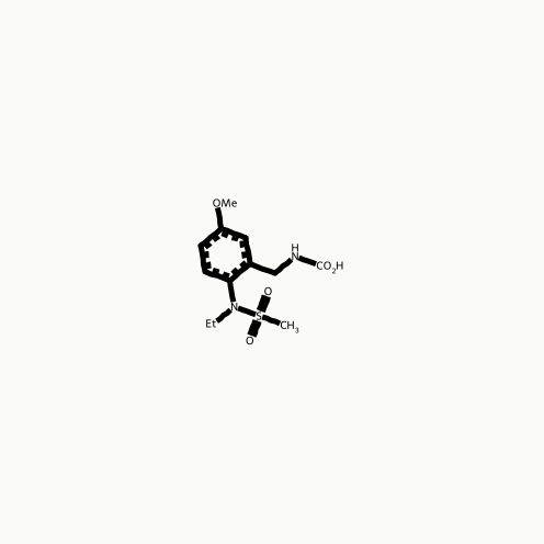 CCN(c1ccc(OC)cc1CNC(=O)O)S(C)(=O)=O